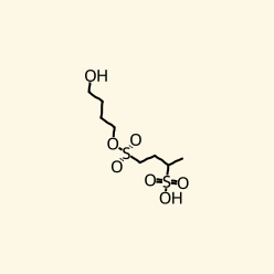 CC(CCS(=O)(=O)OCCCCO)S(=O)(=O)O